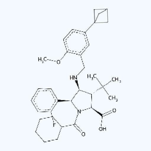 COc1ccc(C23CC(C2)C3)cc1CN[C@H]1[C@H](C(C)(C)C)[C@@H](C(=O)O)N(C(=O)C2CCCCC2)[C@H]1c1ccccc1F